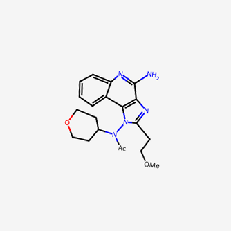 COCCc1nc2c(N)nc3ccccc3c2n1N(C(C)=O)C1CCOCC1